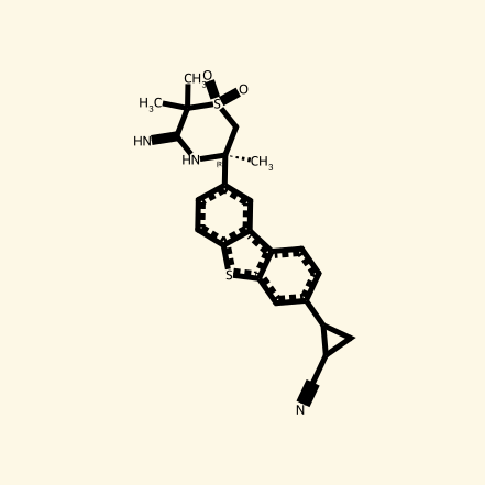 CC1(C)C(=N)N[C@](C)(c2ccc3sc4cc(C5CC5C#N)ccc4c3c2)CS1(=O)=O